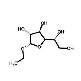 CCO[C@H]1O[C@H]([C@H](O)CO)[C@H](O)[C@H]1O